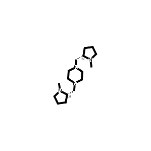 CN1CCC[C@H]1CN1CCN(C[C@@H]2CCCN2C)CC1